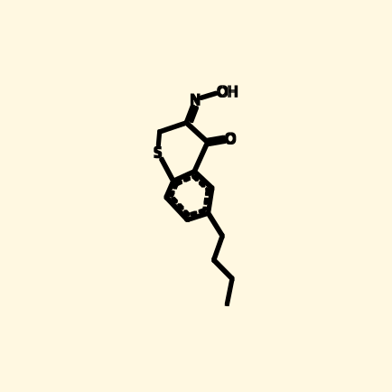 CCCCc1ccc2c(c1)C(=O)/C(=N\O)CS2